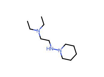 CCN(CC)CCNN1CCCCC1